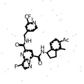 CC(=O)c1ccc2c(c1C)CC[C@@H]2NC(=O)c1cc(C(=O)NCc2ccnc(C(F)(F)F)c2)nc2c(F)cnn12